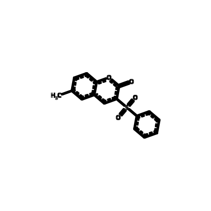 Cc1ccc2oc(=O)c(S(=O)(=O)c3ccccc3)cc2c1